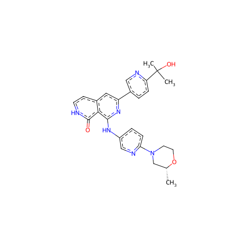 C[C@@H]1CN(c2ccc(Nc3nc(-c4ccc(C(C)(C)O)nc4)cc4cc[nH]c(=O)c34)cn2)CCO1